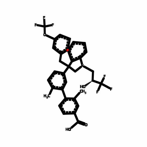 Cc1cc(C(=O)O)ccc1-c1cc(C2(Cc3cccc(OC(F)(F)F)c3)CN(C[C@@H](O)C(F)(F)F)c3ccccc32)ccc1C